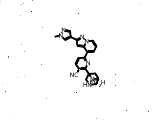 Cn1cc(-c2cc3c(-c4ccc(C#N)c(C56CNCC(C5)N6C(=O)O)n4)cccn3n2)cn1